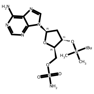 CC(C)(C)[Si](C)(C)O[C@H]1C[C@H](n2cnc3c(N)ncnc32)O[C@@H]1COS(N)(=O)=O